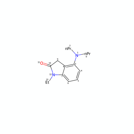 CCCN(CCC)c1cccc2c1CC(=O)N2CC